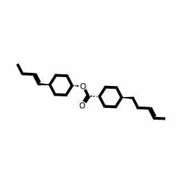 C/C=C/CC[C@H]1CC[C@H](C(=O)O[C@H]2CC[C@H](/C=C/CC)CC2)CC1